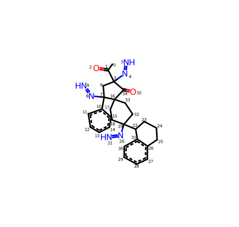 CC(=O)C1(N=N)CC(N=N)(c2ccccc2)C2(CCC(N=N)(C3CCCc4ccccc43)CC2)C1=O